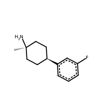 C[C@]1(N)CC[C@@H](c2[c]ccc(F)c2)CC1